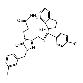 CC[C@]1(/C(=N\Cc2nn(Cc3cccc(I)c3)c(=O)n2CCC(N)=O)c2ccc(Cl)cc2)CCc2ccccc21